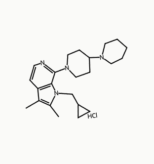 Cc1c(C)n(CC2CC2)c2c(N3CCC(N4CCCCC4)CC3)nccc12.Cl